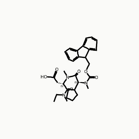 CCN(C)C(=O)[C@H](CC(=O)O)N(C)C(=O)[C@H](C1CCCC1)N(C)C(=O)OCC1c2ccccc2-c2ccccc21